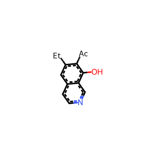 CCc1cc2ccncc2c(O)c1C(C)=O